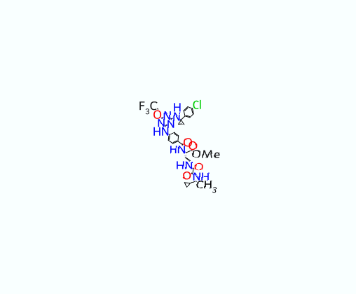 COC(=O)[C@H](CCNC(=O)C(=O)N[C@H](C)C1CC1)NC(=O)c1ccc(Nc2nc(NC3(c4ccc(Cl)cc4)CC3)nc(OCC(F)(F)F)n2)cc1